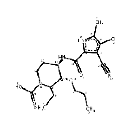 CCCO[C@@H]1C(CC)N(C(=O)O)CC[C@H]1NC(=O)c1[nH]c(C)c(Cl)c1C#N